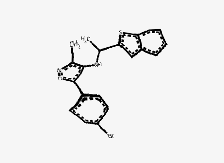 Cc1noc(-c2ccc(Br)cc2)c1NC(C)c1cc2ccccc2s1